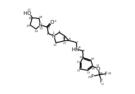 O=C(CN1CC2C(CNCc3cccc(OC(F)(F)F)c3)C2C1)N1CCC(O)C1